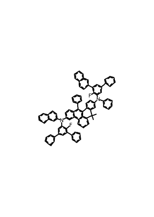 CC1(C)c2cc(N(c3ccccc3)c3cc(-c4ccccc4)cc(-c4ccc5ccccc5c4)c3F)ccc2-c2c(-c3ccccc3)c3ccc(N(c4ccc5ccccc5c4)c4cc(-c5ccccc5)cc(-c5ccccc5)c4F)cc3c3cccc1c23